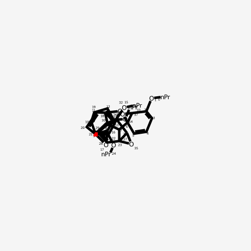 CCCOC1=CC=CC2(C(C(C34C=CC=C(OCCC)C3O4)C34C=CC=C(OCCC)C3O4)C34C=CC=C(OCCC)C3O4)OC12